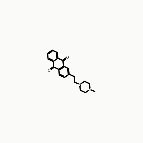 CN1CCN(CCc2ccc3c(c2)C(=O)c2ccccc2C3=O)CC1